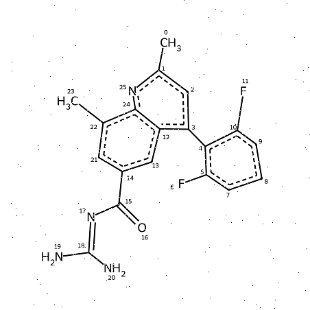 Cc1cc(-c2c(F)cccc2F)c2cc(C(=O)N=C(N)N)cc(C)c2n1